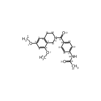 COc1cc2c(c(OC)c1)CN(C(=O)c1ccc(NC(C)=O)cc1)CC2